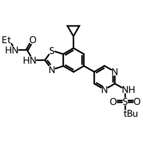 CCNC(=O)Nc1nc2cc(-c3cnc(NS(=O)(=O)C(C)(C)C)nc3)cc(C3CC3)c2s1